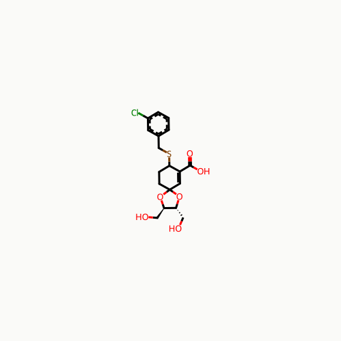 O=C(O)C1=CC2(CCC1SCc1cccc(Cl)c1)O[C@H](CO)[C@@H](CO)O2